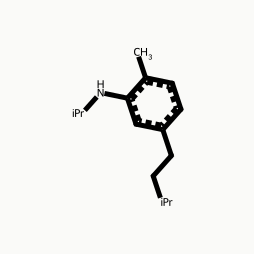 Cc1ccc(CCC(C)C)cc1NC(C)C